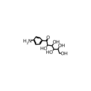 Nc1ccc(C(=O)C(O)C(O)C(O)C(O)CO)cc1